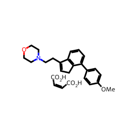 COc1ccc(-c2cccc3c2CC=C3CCN2CCOCC2)cc1.O=C(O)/C=C\C(=O)O